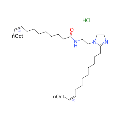 CCCCCCCC/C=C\CCCCCCCCC1=NCCN1CCNC(=O)CCCCCCC/C=C\CCCCCCCC.Cl